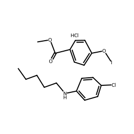 CCCCCNc1ccc(Cl)cc1.COC(=O)c1ccc(OI)cc1.Cl